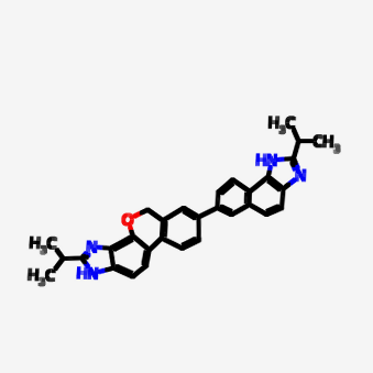 CC(C)c1nc2c3c(ccc2[nH]1)-c1ccc(-c2ccc4c(ccc5nc(C(C)C)[nH]c54)c2)cc1CO3